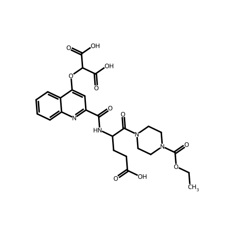 CCOC(=O)N1CCN(C(=O)C(CCC(=O)O)NC(=O)c2cc(OC(C(=O)O)C(=O)O)c3ccccc3n2)CC1